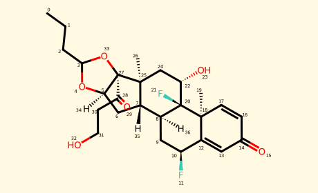 CCCC1O[C@@H]2C[C@H]3[C@@H]4C[C@H](F)C5=CC(=O)C=C[C@]5(C)[C@@]4(F)[C@@H](O)C[C@]3(C)[C@]2(C(=O)CCO)O1